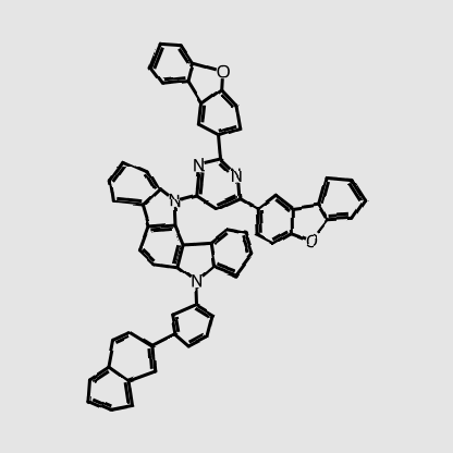 c1cc(-c2ccc3ccccc3c2)cc(-n2c3ccccc3c3c2ccc2c4ccccc4n(-c4cc(-c5ccc6oc7ccccc7c6c5)nc(-c5ccc6oc7ccccc7c6c5)n4)c23)c1